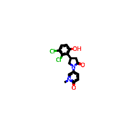 Cn1cc(N2CC(c3c(O)ccc(Cl)c3Cl)CC2=O)ccc1=O